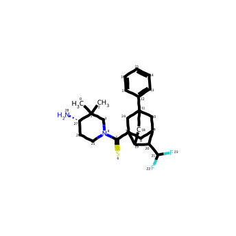 CC1(C)CN(C(=S)C23CC4CC(c5ccccc5)(CC2C4C(F)F)C3)CC[C@@H]1N